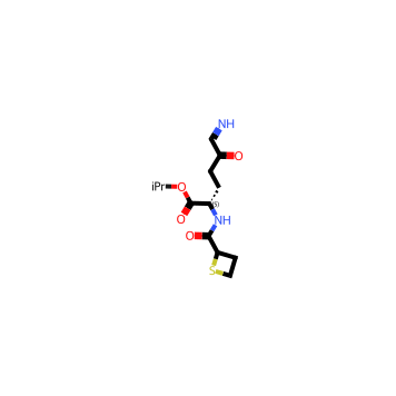 CC(C)OC(=O)[C@H](CCC(=O)C=N)NC(=O)C1CCS1